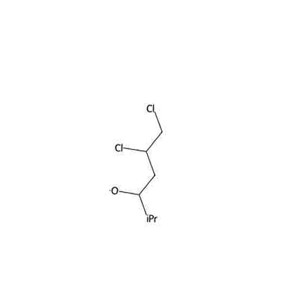 CC(C)C([O])CC(Cl)CCl